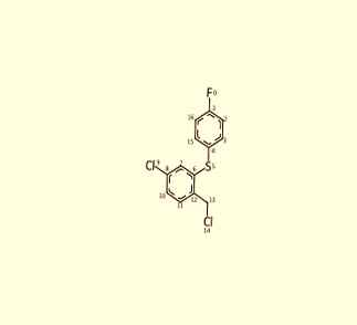 Fc1ccc(Sc2cc(Cl)ccc2CCl)cc1